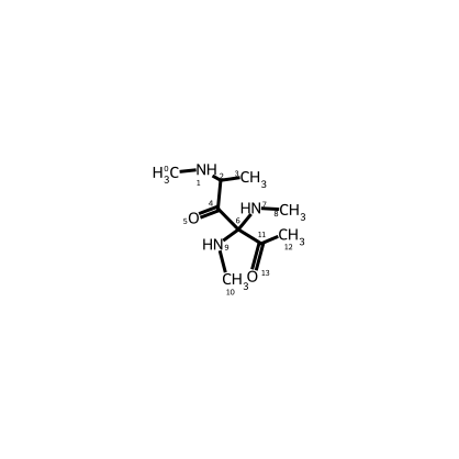 CNC(C)C(=O)C(NC)(NC)C(C)=O